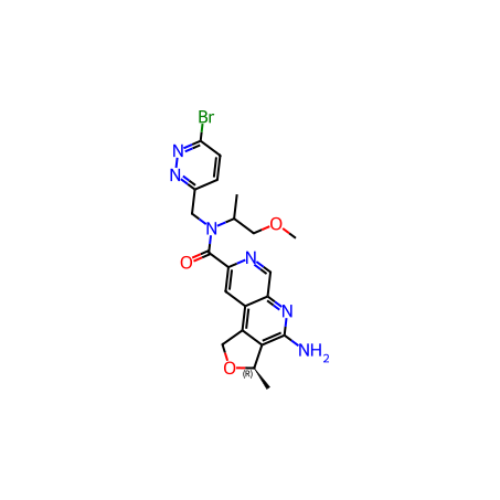 COCC(C)N(Cc1ccc(Br)nn1)C(=O)c1cc2c3c(c(N)nc2cn1)[C@@H](C)OC3